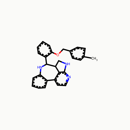 Cc1ccc(COc2ccccc2C2Nc3ccccc3-c3ccnc4c3C2CN4)cc1